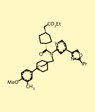 CCOC(=O)C[C@H]1CC[C@H](C(=O)N(CC23CCC(c4ccc(OC)c(C)c4)(CC2)CC3)c2cc(-c3coc(C(C)C)n3)ccn2)CC1